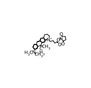 CN(C)c1ccc2c(c1)C(C)(C)c1cc3c(cc1=C2)CCC[N+]=3CCCC(=O)ON1C(=O)CCC1=O